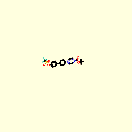 CC(C)(C)OC(=O)N1CCN([C@H]2CC[C@H](c3ccc(OS(=O)(=O)C(F)(F)F)cc3)CC2)CC1